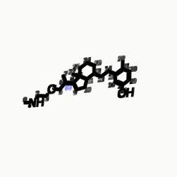 CNCCOC/C(C)=C1\CCC2C(CCc3cc(O)ccc3C)CCCC12C